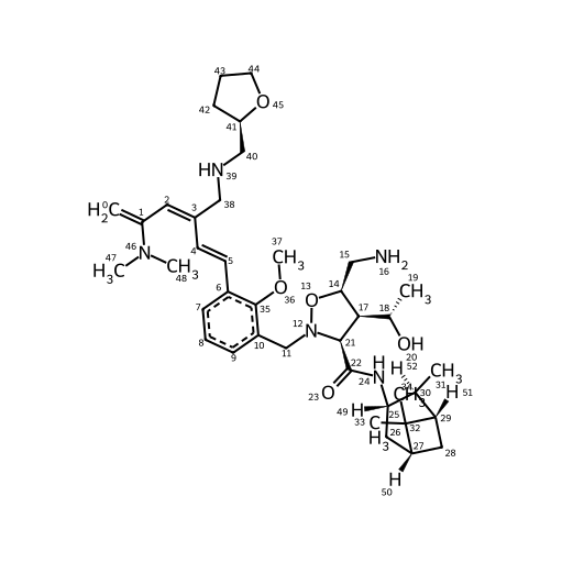 C=C(/C=C(\C=C\c1cccc(CN2O[C@@H](CN)[C@@H]([C@H](C)O)[C@H]2C(=O)N[C@H]2C[C@H]3C[C@@H]([C@@H]2C)C3(C)C)c1OC)CNC[C@H]1CCCO1)N(C)C